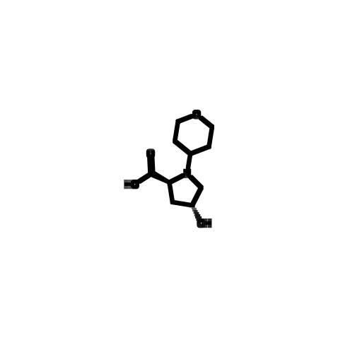 O=C(O)[C@@H]1C[C@@H](O)CN1C1CCOCC1